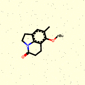 CCCCOc1c(C)cc2c3c1CCC(=O)N3CC2